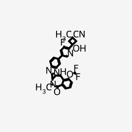 CN1C(=O)c2cccc(OC(F)F)c2[C@@H]2CC1c1nc3ccc(-c4cnc([C@]5(O)C[C@@](C)(C#N)C5)c(F)c4)cc3n12